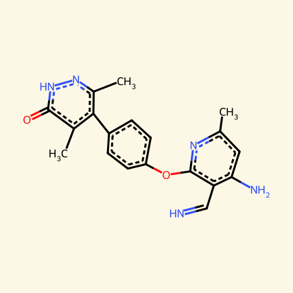 Cc1cc(N)c(C=N)c(Oc2ccc(-c3c(C)n[nH]c(=O)c3C)cc2)n1